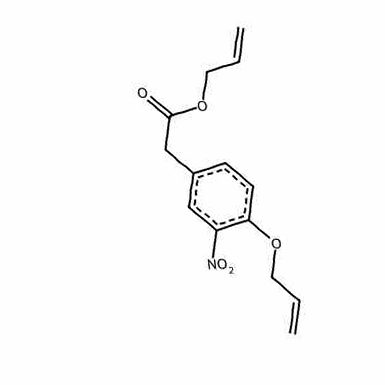 C=CCOC(=O)Cc1ccc(OCC=C)c([N+](=O)[O-])c1